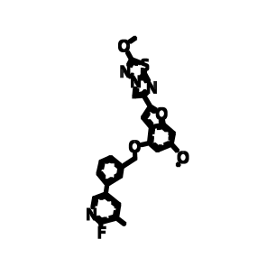 COc1cc(OCc2cccc(-c3cnc(F)c(C)c3)c2)c2cc(-c3cn4nc(OC)sc4n3)oc2c1